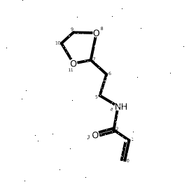 C=CC(=O)NCCC1OCCO1